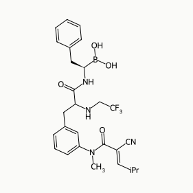 CC(C)C=C(C#N)C(=O)N(C)c1cccc(CC(NCC(F)(F)F)C(=O)N[C@@H](Cc2ccccc2)B(O)O)c1